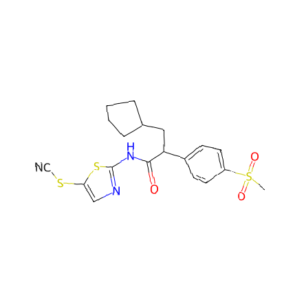 CS(=O)(=O)c1ccc(C(CC2CCCC2)C(=O)Nc2ncc(SC#N)s2)cc1